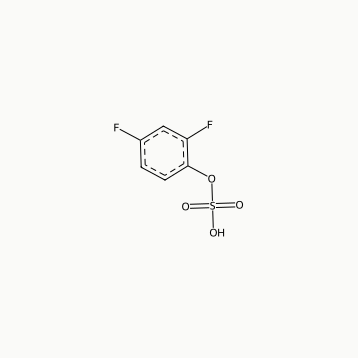 O=S(=O)(O)Oc1ccc(F)cc1F